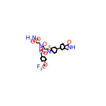 NS(=O)(=O)CCNC(=O)C(c1nc2ccc(-c3ccc4c(c3)CNC4=O)cc2s1)S(=O)(=O)Cc1ccc(OC(F)(F)F)cc1